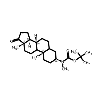 CN(C(=O)OC(C)(C)C)[C@H]1CC[C@@]2(C)C(CC[C@@H]3C2CC[C@]2(C)C(=O)CC[C@@H]32)C1